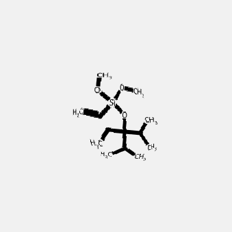 C=C[Si](OC)(OC)OC(CC)(C(C)C)C(C)C